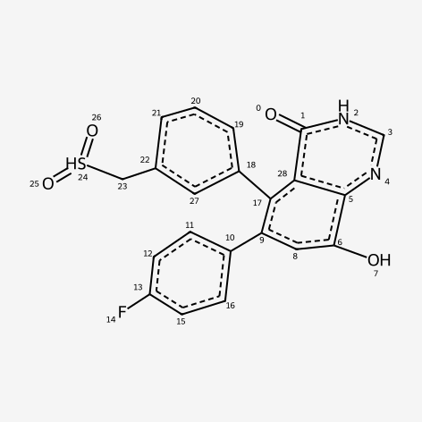 O=c1[nH]cnc2c(O)cc(-c3ccc(F)cc3)c(-c3cccc(C[SH](=O)=O)c3)c12